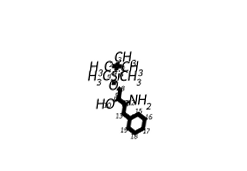 CC(C)(C)[Si](C)(C)OC[C@H](O)[C@@H](N)CC1CCCCC1